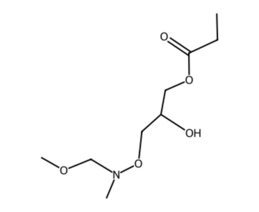 CCC(=O)OCC(O)CON(C)COC